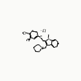 Cl.Cn1c(COc2ccc(Cl)c(Cl)c2)c(CN2CCCCC2)c2ccccc21